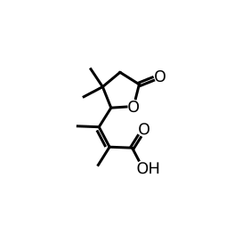 CC(C(=O)O)=C(C)C1OC(=O)CC1(C)C